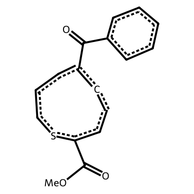 COC(=O)c1cccc(C(=O)c2ccccc2)cccs1